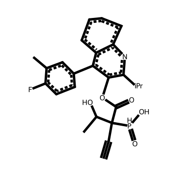 C#CC(C(=O)Oc1c(C(C)C)nc2ccccc2c1-c1ccc(F)c(C)c1)(C(C)O)[PH](=O)O